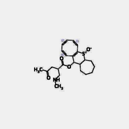 CNCC(CC(C)=O)C(=O)OC1C2=C(\C=C/C=C\C=C/2)[S+]([O-])C2CCCCCC12